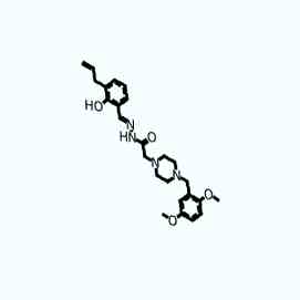 C=CCc1cccc(/C=N/NC(=O)CN2CCN(Cc3cc(OC)ccc3OC)CC2)c1O